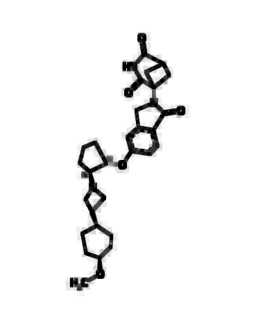 CO[C@H]1CC[C@@H](C2CN([C@H]3CCC[C@@H]3Oc3ccc4c(c3)CN(C35CC(C3)C(=O)NC5=O)C4=O)C2)CC1